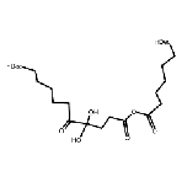 CCCCCCCCCCCCCCCC(=O)OC(=O)CCC(O)(O)C(=O)CCCCCCCCCCCCCCC